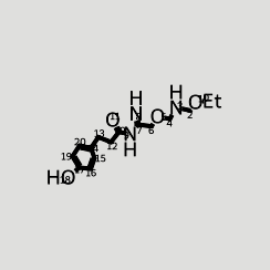 CCOCNCOCC(=N)NC(=O)CCc1ccc(O)cc1